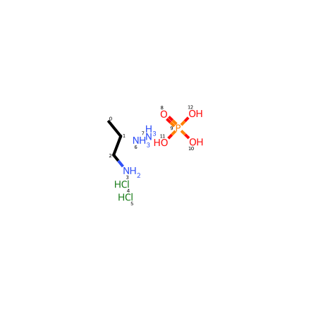 CCCN.Cl.Cl.N.N.O=P(O)(O)O